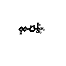 CC(C)(C)c1ccc(N2CC3(CCN3)C2)nn1